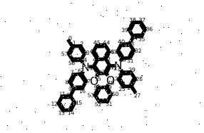 Cc1ccc(N(c2ccc(-c3ccccc3)cc2)c2c3c(c(N(c4ccc(C)cc4)c4ccc(-c5ccccc5)cc4)c4ccccc24)Oc2ccccc2O3)cc1